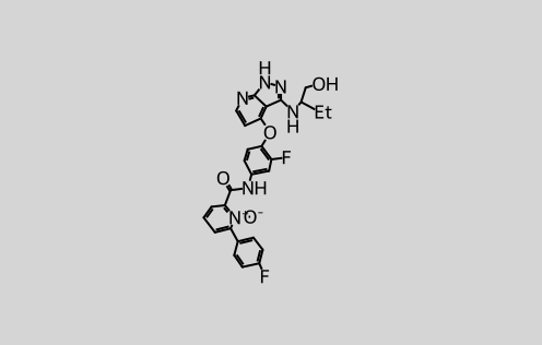 CCC(CO)Nc1n[nH]c2nccc(Oc3ccc(NC(=O)c4cccc(-c5ccc(F)cc5)[n+]4[O-])cc3F)c12